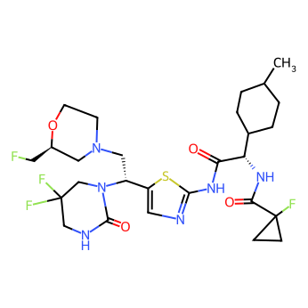 CC1CCC([C@H](NC(=O)C2(F)CC2)C(=O)Nc2ncc([C@@H](CN3CCO[C@H](CF)C3)N3CC(F)(F)CNC3=O)s2)CC1